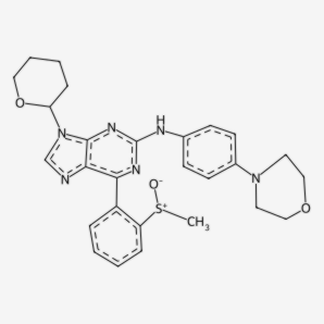 C[S+]([O-])c1ccccc1-c1nc(Nc2ccc(N3CCOCC3)cc2)nc2c1ncn2C1CCCCO1